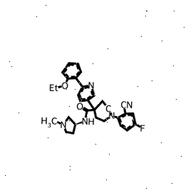 CCOc1ccccc1-c1ccc(C2(C(=O)N[C@H]3CCN(C)C3)CCN(c3ccc(F)cc3C#N)CC2)cn1